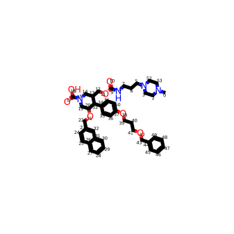 CN1CCN(CCCNC(=O)OCC2CN(C(=O)O)CC(OCc3ccc4ccccc4c3)C2c2ccc(OCCCOCc3ccccc3)cc2)CC1